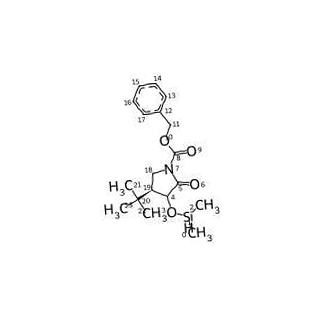 C[SiH](C)OC1C(=O)N(C(=O)OCc2ccccc2)C[C@@H]1C(C)(C)C